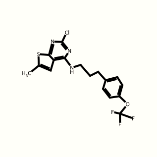 Cc1cc2c(NCCCc3ccc(OC(F)(F)F)cc3)nc(Cl)nc2s1